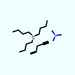 C#CCC=C.CCC[CH2][SnH]([CH2]CCC)[CH2]CCC.CN(C)C